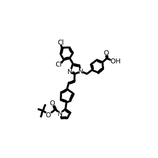 CC(C)(C)OC(=O)n1cccc1-c1ccc(/C=C/c2nc(-c3ccc(Cl)cc3Cl)cn2Cc2ccc(C(=O)O)cc2)cc1